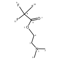 CN(C)CCOC(=O)C(F)(F)F